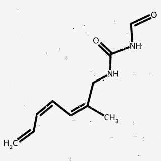 C=C/C=C\C=C(\C)CNC(=O)NC=O